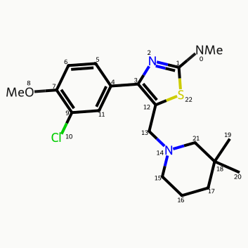 CNc1nc(-c2ccc(OC)c(Cl)c2)c(CN2CCCC(C)(C)C2)s1